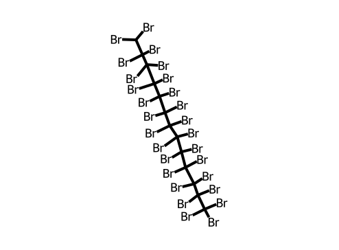 BrC(Br)C(Br)(Br)C(Br)(Br)C(Br)(Br)C(Br)(Br)C(Br)(Br)C(Br)(Br)C(Br)(Br)C(Br)(Br)C(Br)(Br)C(Br)(Br)C(Br)(Br)C(Br)(Br)Br